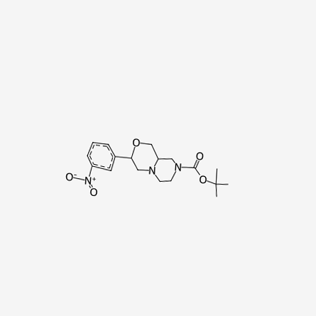 CC(C)(C)OC(=O)N1CCN2CC(c3cccc([N+](=O)[O-])c3)OCC2C1